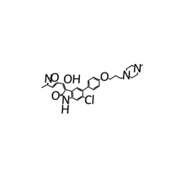 Cc1cc(/C(O)=C2\C(=O)Nc3cc(Cl)c(-c4ccc(OCCCN5CCN(C)CC5)cc4)cc32)on1